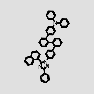 c1ccc(-c2nc(-c3cccc4ccccc34)n(-c3ccc(-c4ccccc4-c4ccccc4-c4ccc(N(c5ccccc5)c5ccccc5)cc4)cc3)n2)cc1